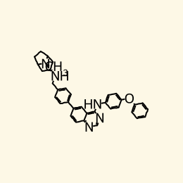 CN1C2CCC1CC(NCc1ccc(-c3ccc4ncnc(Nc5ccc(Oc6ccccc6)cc5)c4c3)cc1)C2